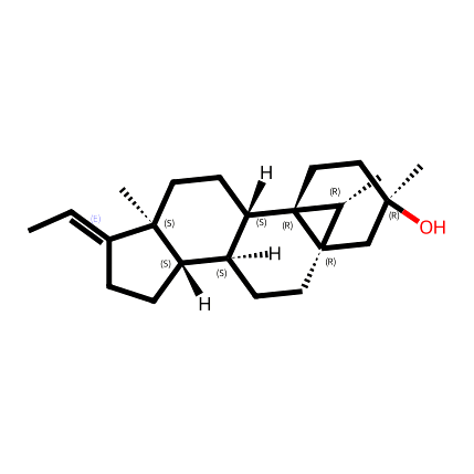 C/C=C1\CC[C@H]2[C@@H]3CC[C@]45C[C@](C)(O)CC[C@]4([C@@H]5C)[C@H]3CC[C@]12C